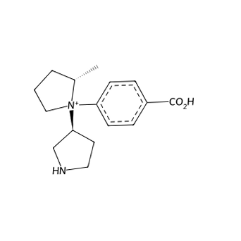 C[C@H]1CCC[N+]1(c1ccc(C(=O)O)cc1)[C@H]1CCNC1